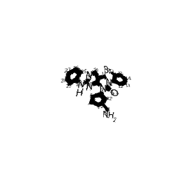 NCc1cccc(N2C(=O)N(c3ccccc3Br)Cc3cnc(Nc4ccccc4)nc32)c1